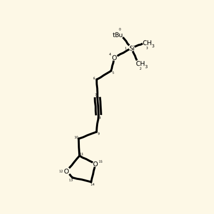 CC(C)(C)[Si](C)(C)OCCC#CCCC1OCCO1